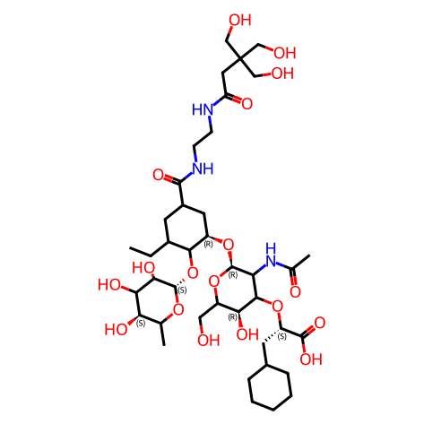 CCC1CC(C(=O)NCCNC(=O)CC(CO)(CO)CO)C[C@@H](O[C@@H]2OC(CO)[C@H](O)C(O[C@@H](CC3CCCCC3)C(=O)O)C2NC(C)=O)C1O[C@@H]1OC(C)[C@@H](O)C(O)C1O